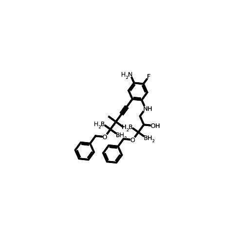 BC(B)(OCc1ccccc1)C(O)CNc1cc(F)c(N)cc1C#CC(C)(C)C(B)(B)OCc1ccccc1